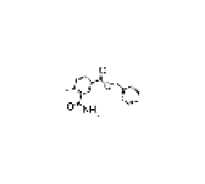 Cc1ccc(C(=O)OCc2ccccc2)cc1C(N)=O